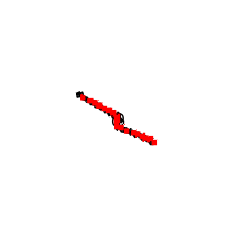 CCCCCCCCCCCCCCCCCCC(C)OOOC(C)CCCCCCCCCCCCCCCCCC